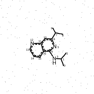 CC(C)Nc1nc(C(C)C)cc2ncccc12